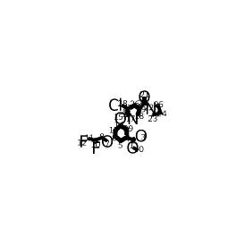 COC(=O)c1cc(OCC(F)CF)cc(Oc2ncc(C(=O)N3CCC3)cc2Cl)c1